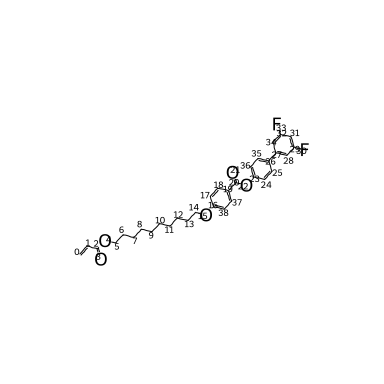 C=CC(=O)OCCCCCCCCCCOc1ccc(C(=O)Oc2ccc(-c3cc(F)cc(F)c3)cc2)cc1